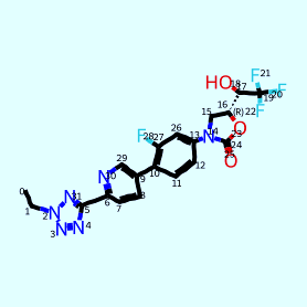 CCn1nnc(-c2ccc(-c3ccc(N4C[C@H](C(O)C(F)(F)F)OC4=O)cc3F)cn2)n1